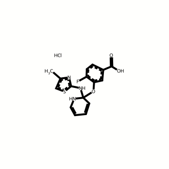 Cc1csc(NC2(Oc3cc(C(=O)O)ccc3F)C=CC=CN2)n1.Cl